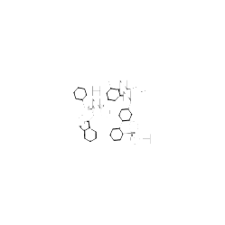 CCCc1nc2c(C)cc(C(=O)N[C@H](Cc3ccccc3)Cc3scc4ccccc34)cc2n1Cc1ccc(-c2ccccc2C(=O)O)cc1